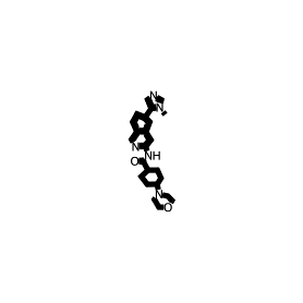 Cn1cncc1-c1ccc2cnc(NC(=O)C3CCC(N4CCOCC4)CC3)cc2c1